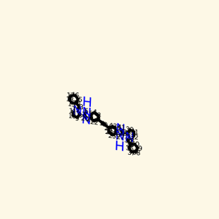 C(#Cc1ccc2[nH]c([C@@H]3CCCN3CC3CCCCC3)nc2c1)c1ccc2[nH]c([C@@H]3CCCN3CC3CCCCC3)nc2c1